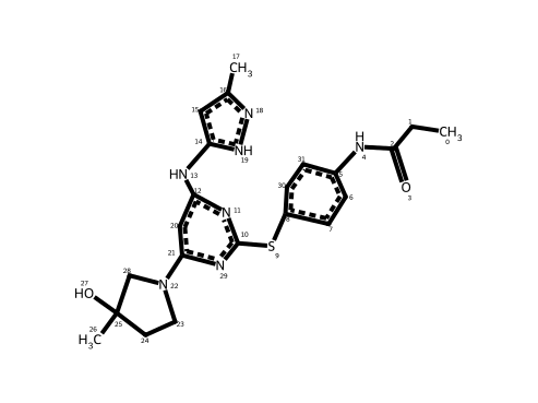 CCC(=O)Nc1ccc(Sc2nc(Nc3cc(C)n[nH]3)cc(N3CCC(C)(O)C3)n2)cc1